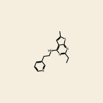 CCc1nc(NCCc2cccnc2)c2cc(C)sc2n1